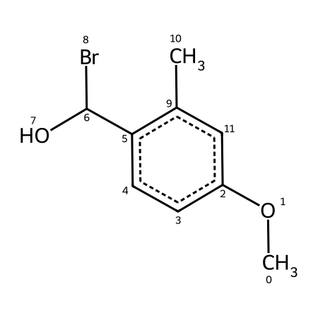 COc1ccc(C(O)Br)c(C)c1